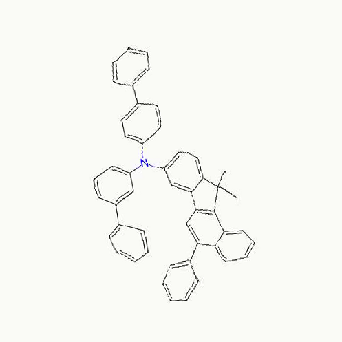 CC1(C)c2ccc(N(c3ccc(-c4ccccc4)cc3)c3cccc(-c4ccccc4)c3)cc2-c2cc(-c3ccccc3)c3ccccc3c21